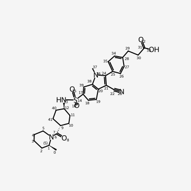 C[C@H]1CCCCN1C(=O)[C@H]1CC[C@H](NS(=O)(=O)c2ccc3c(C#N)c(-c4ccc(CCC(=O)O)cc4)n(C)c3c2)CC1